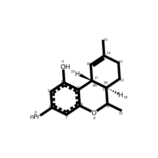 CCCc1cc(O)c2c(c1)OC(C)[C@@H]1CCC(C)=C[C@@H]21